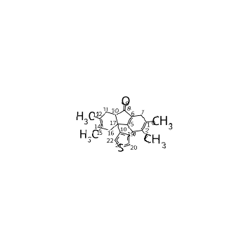 CC1=C(C)CC2=C(C1)C(=O)C1CC(C)=C(C)CC21c1ccsc1